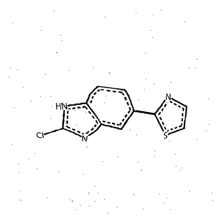 Clc1nc2cc(-c3nccs3)ccc2[nH]1